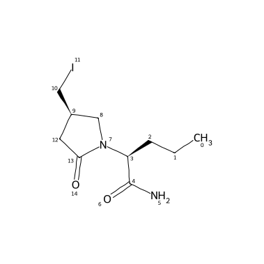 CCC[C@@H](C(N)=O)N1C[C@H](CI)CC1=O